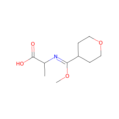 COC(=NC(C)C(=O)O)C1CCOCC1